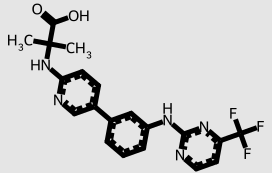 CC(C)(Nc1ccc(-c2cccc(Nc3nccc(C(F)(F)F)n3)c2)cn1)C(=O)O